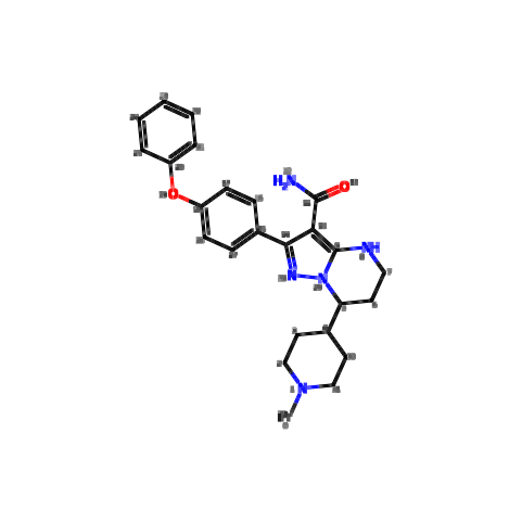 CC(C)N1CCC(C2CCNc3c(C(N)=O)c(-c4ccc(Oc5ccccc5)cc4)nn32)CC1